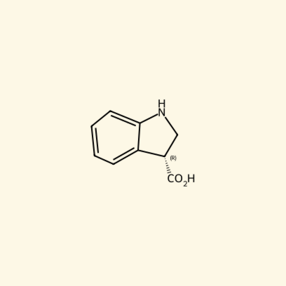 O=C(O)[C@H]1CNc2ccccc21